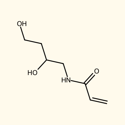 C=CC(=O)NCC(O)CCO